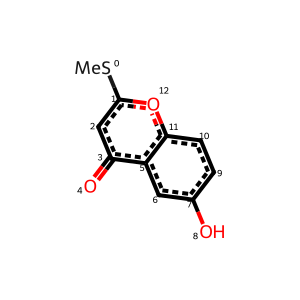 CSc1cc(=O)c2cc(O)ccc2o1